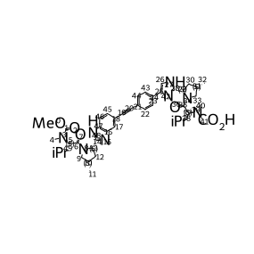 COC(=O)N(C)[C@H](C(=O)N1C[C@@H](C)C[C@H]1c1nc2cc(C#Cc3ccc(-c4c[nH]c([C@@H]5C[C@H](C)CN5C(=O)[C@H](C(C)C)N(C)C(=O)O)n4)cc3)ccc2[nH]1)C(C)C